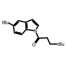 CC(C)(C)CCC(=O)n1ccc2cc(C(C)(C)C)ccc21